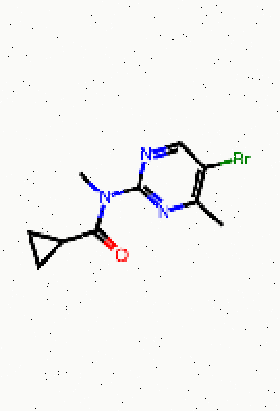 Cc1nc(N(C)C(=O)C2CC2)ncc1Br